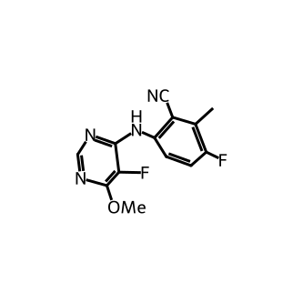 COc1ncnc(Nc2ccc(F)c(C)c2C#N)c1F